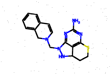 Nc1nc2c3c(n1)N(CN1C=Cc4ccccc4C1)NC3CCS2